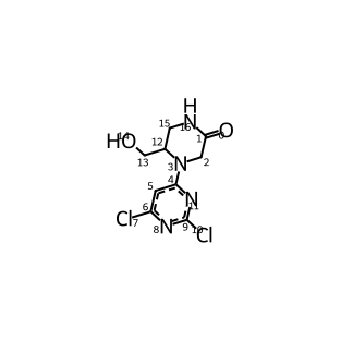 O=C1CN(c2cc(Cl)nc(Cl)n2)C(CO)CN1